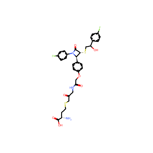 N[C@@H](CCSCC(=O)CNC(=O)COc1ccc([C@@H]2[C@@H](SCC(O)c3ccc(F)cc3)C(=O)N2c2ccc(F)cc2)cc1)C(=O)O